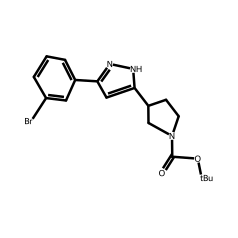 CC(C)(C)OC(=O)N1CCC(c2cc(-c3cccc(Br)c3)n[nH]2)C1